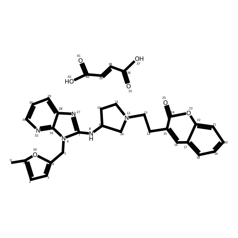 Cc1ccc(Cn2c(NC3CCN(CCc4cc5ccccc5oc4=O)C3)nc3cccnc32)o1.O=C(O)C=CC(=O)O